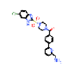 NCc1cccc(-c2ccc(C(=O)N3CCN(S(=O)(=O)c4nc5ccc(Cl)cc5[nH]4)CC3)cc2)n1